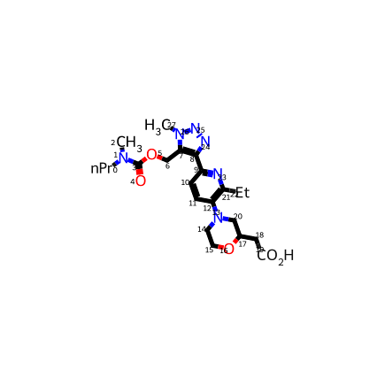 CCCN(C)C(=O)OCc1c(-c2ccc(N3CCOC(CC(=O)O)C3)c(CC)n2)nnn1C